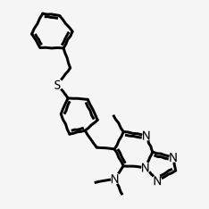 Cc1nc2ncnn2c(N(C)C)c1Cc1ccc(SCc2ccccc2)cc1